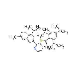 Cc1ccc2c(C(C)C)cc(-c3nccc4c(C)c(-c5c(C(C)C)cc(C(C)C)cc5C(C)C)sc34)cc2c1